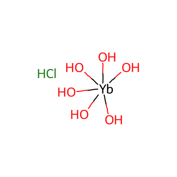 Cl.[OH][Yb]([OH])([OH])([OH])([OH])[OH]